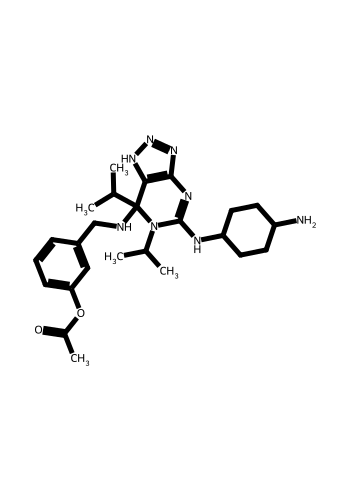 CC(=O)Oc1cccc(CNC2(C(C)C)c3[nH]nnc3N=C(NC3CCC(N)CC3)N2C(C)C)c1